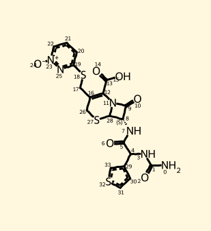 NC(=O)NC(C(=O)N[C@H]1C(=O)N2C(C(=O)O)=C(CSc3ccc[n+]([O-])n3)CSC12)c1ccsc1